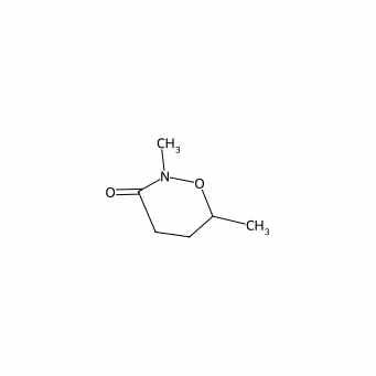 CC1CCC(=O)N(C)O1